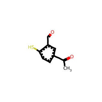 CC(=O)c1ccc(S)c(C=O)c1